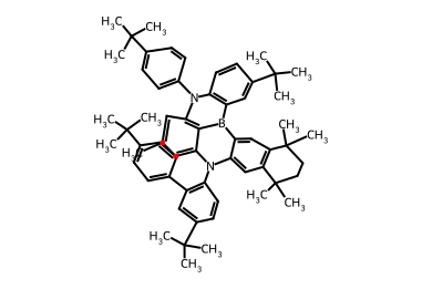 Cc1cc2c3c(c1)N(c1ccc(C(C)(C)C)cc1-c1ccc(C(C)(C)C)cc1)c1cc4c(cc1B3c1cc(C(C)(C)C)ccc1N2c1ccc(C(C)(C)C)cc1)C(C)(C)CCC4(C)C